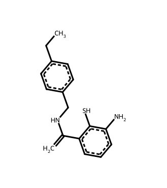 C=C(NCc1ccc(CC)cc1)c1cccc(N)c1S